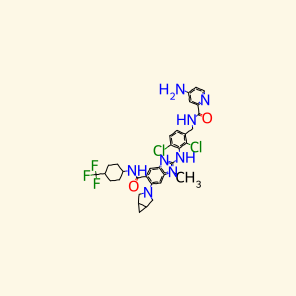 Cn1c(Nc2c(Cl)ccc(CNC(=O)c3cc(N)ccn3)c2Cl)nc2cc(C(=O)NC3CCC(C(F)(F)F)CC3)c(N3CC4CC4C3)cc21